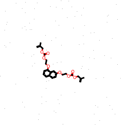 C=C(C)COC(=O)OCCOc1ccc2cccc(OCCOC(=O)OCC(=C)C)c2c1